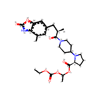 CCOC(=O)OC(C)OC(=O)[C@@H]1CCCN1C1CCN(C(=O)[C@H](C)Cc2cc(C)c3[nH]c(=O)oc3c2)CC1